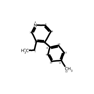 C[CH]c1cnccc1-c1ccc(C)cc1